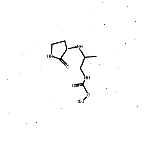 CC(CNC(=O)OC(C)(C)C)N[C@@H]1CCNC1=O